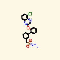 NS(=O)(=O)Cc1cccc(-c2ccccc2Oc2cnc3c(Cl)cccc3n2)c1